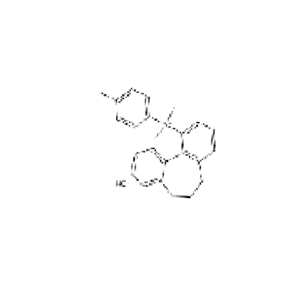 Cc1ccc([N+](C)(C)c2cccc3c2-c2ccccc2CCC3)cc1.[OH-]